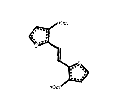 CCCCCCCCc1ccsc1C=Cc1sccc1CCCCCCCC